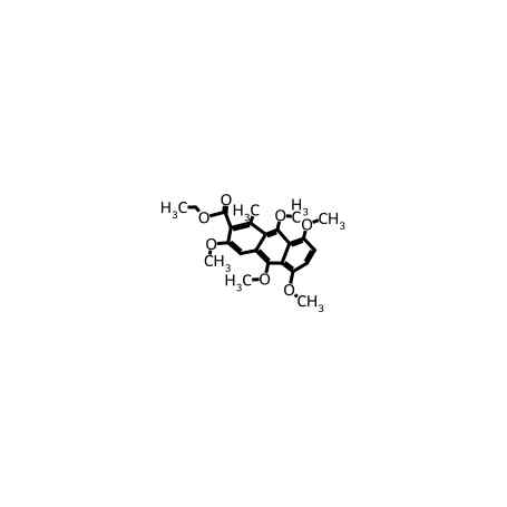 CCOC(=O)c1c(OC)cc2c(OC)c3c(OC)ccc(OC)c3c(OC)c2c1C